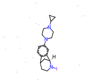 IN1CCC2C[C@H]1c1cc(N3CCN(C4CC4)CC3)ccc12